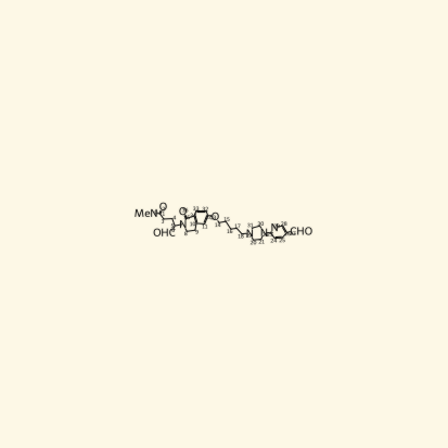 CNC(=O)CCC(C=O)N1CCc2cc(OCCCCCN3CCN(c4ccc(C=O)cn4)CC3)ccc2C1=O